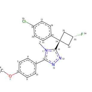 Cn1c(-c2ccc(OC(F)(F)F)cc2)nnc1[C@]1(c2ccc(Cl)cc2)C[C@@H](F)C1